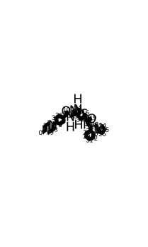 CN1CCN(c2ccc(C(=O)Nc3n[nH]c4sc(C(=O)N[C@H](CN5CCCC5)c5ccccc5)cc34)cc2)CC1